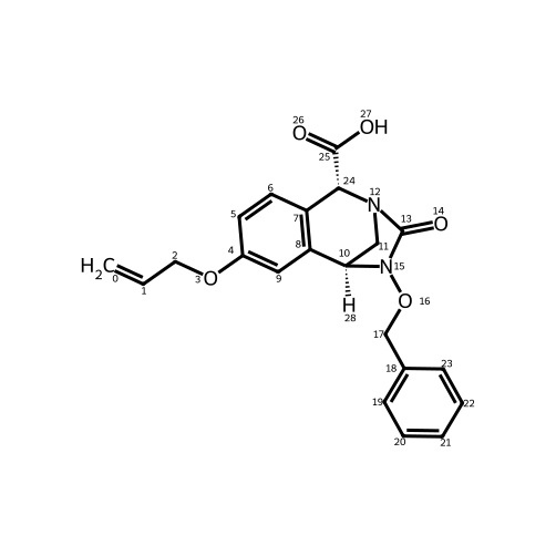 C=CCOc1ccc2c(c1)[C@H]1CN(C(=O)N1OCc1ccccc1)[C@H]2C(=O)O